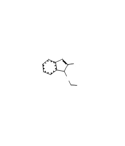 [CH2][CH2][Mg][CH]1C(C)=Cc2ccccc21